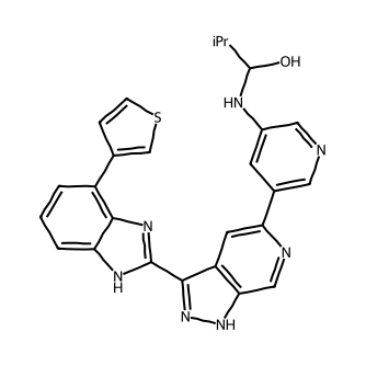 CC(C)C(O)Nc1cncc(-c2cc3c(-c4nc5c(-c6ccsc6)cccc5[nH]4)n[nH]c3cn2)c1